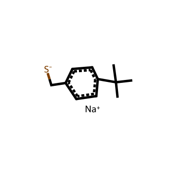 CC(C)(C)c1ccc(C[S-])cc1.[Na+]